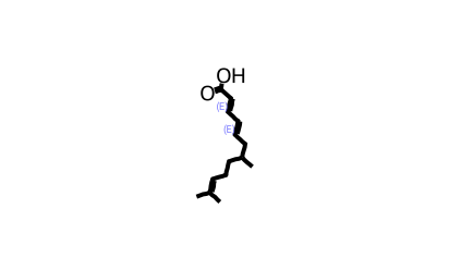 CC(C)=CCCC(C)C/C=C/C=C/C(=O)O